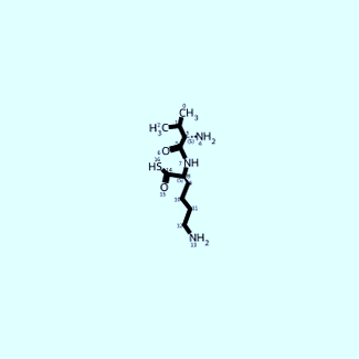 CC(C)[C@H](N)C(=O)N[C@@H](CCCCN)C(=O)S